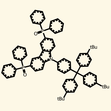 CC(C)(C)c1ccc(C(c2ccc(-n3c4ccc(P(=O)(c5ccccc5)c5ccccc5)cc4c4cc(P(=O)(c5ccccc5)c5ccccc5)ccc43)cc2)(c2ccc(C(C)(C)C)cc2)c2ccc(C(C)(C)C)cc2)cc1